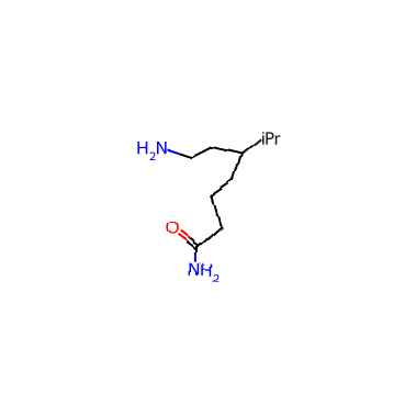 CC(C)C(CCN)CCCC(N)=O